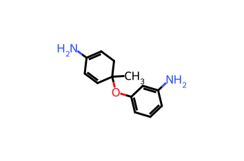 CC1(Oc2cccc(N)c2)C=CC(N)=CC1